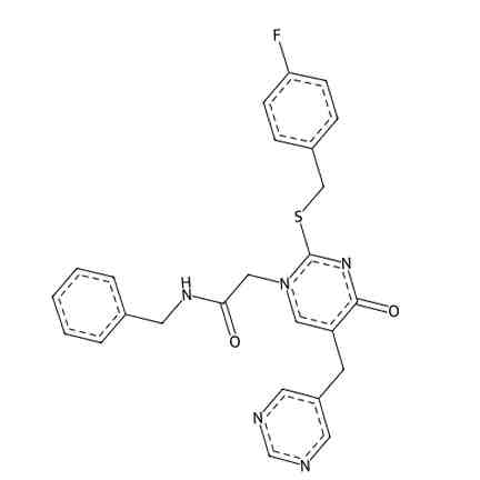 O=C(Cn1cc(Cc2cncnc2)c(=O)nc1SCc1ccc(F)cc1)NCc1ccccc1